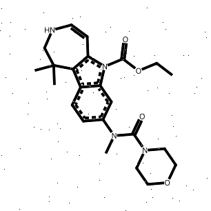 CCOC(=O)n1c2c(c3ccc(N(C)C(=O)N4CCOCC4)cc31)C(C)(C)CNC=C2